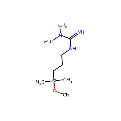 CO[Si](C)(C)CCCNC(=N)N(C)C